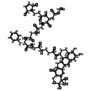 CC[C@@]1(O)C(=O)OCc2c1cc1n(c2=O)Cc2c-1nc1cc(F)c(C)c3c1c2[C@@H](NC(=O)CCNC(=O)CNC(=O)[C@H](Cc1ccccc1)NC(=O)CNC(=O)CNC(=O)[C@H](CC(=O)OC(C)(C)C)NC(=O)CCN1C(=O)C=CC1=O)CC3